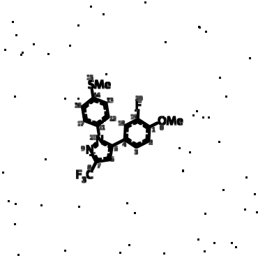 COc1ccc(-c2cc(C(F)(F)F)nn2-c2ccc(SC)cc2)cc1F